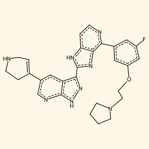 Fc1cc(OCCN2CCCC2)cc(-c2nccc3[nH]c(-c4n[nH]c5ncc(C6=CCNCC6)cc45)nc23)c1